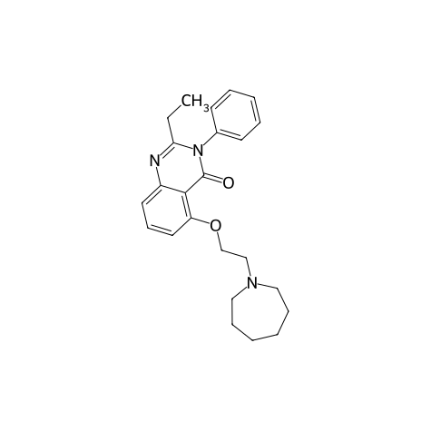 CCc1nc2cccc(OCCN3CCCCCC3)c2c(=O)n1-c1ccccc1